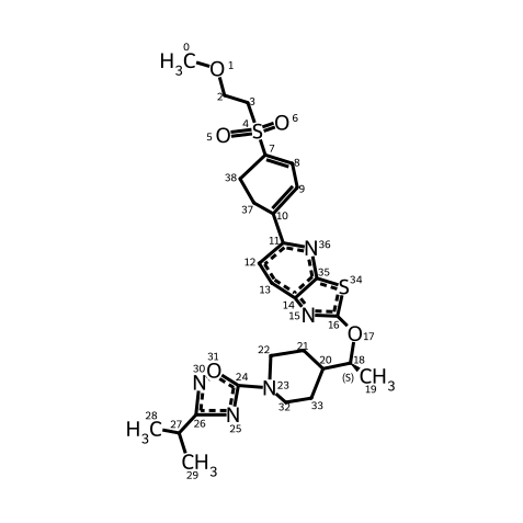 COCCS(=O)(=O)C1=CC=C(c2ccc3nc(O[C@@H](C)C4CCN(c5nc(C(C)C)no5)CC4)sc3n2)CC1